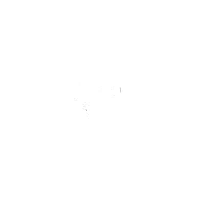 O=C(CCC1CCCC1)N/C(=C/c1ccc(OC2CCCCC2)cc1)C(=O)O